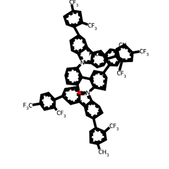 Cc1ccc(-c2ccc3c(c2)c2cc(-c4ccc(C(F)(F)F)cc4C(F)(F)F)ccc2n3-c2ccc(-c3ccc(C#N)cc3C(F)(F)F)cc2-c2c(C#N)cccc2-n2c3ccc(-c4ccc(C(F)(F)F)cc4C(F)(F)F)cc3c3cc(-c4ccc(C(F)(F)F)cc4C(F)(F)F)ccc32)c(C(F)(F)F)c1